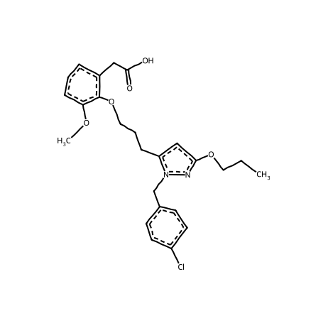 CCCOc1cc(CCCOc2c(CC(=O)O)cccc2OC)n(Cc2ccc(Cl)cc2)n1